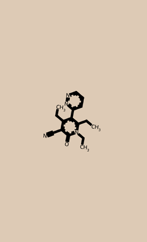 CCc1c(-c2cccnn2)c(CC)n(CC)c(=O)c1C#N